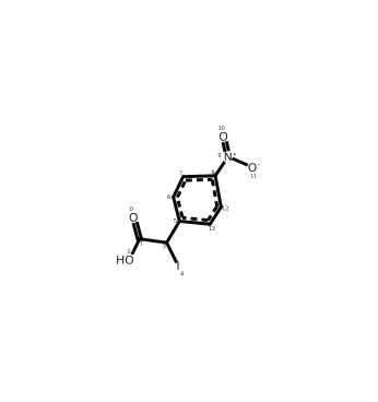 O=C(O)C(I)c1ccc([N+](=O)[O-])cc1